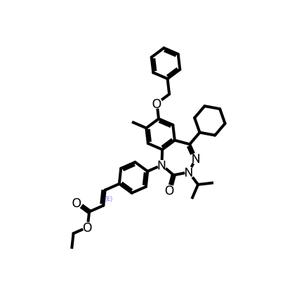 CCOC(=O)/C=C/c1ccc(N2C(=O)N(C(C)C)N=C(C3CCCCC3)c3cc(OCc4ccccc4)c(C)cc32)cc1